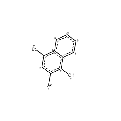 CCc1cc(C(C)=O)c(O)c2ccccc12